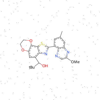 COc1cnc2c(-c3nc4c(C(O)C(C)(C)C)cc5c(c4s3)OCCO5)cc(C)cc2n1